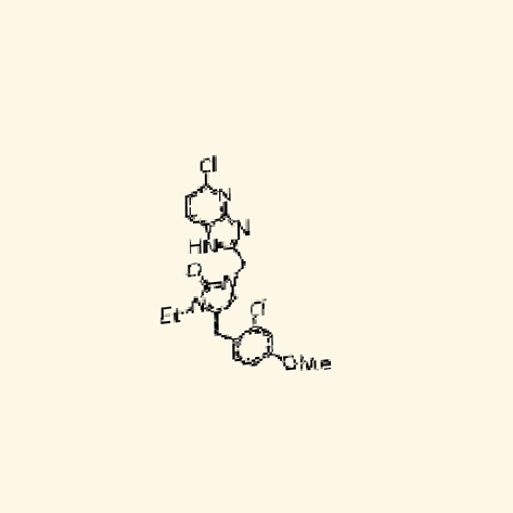 CCn1c(Cc2ccc(OC)cc2Cl)cn(Cc2nc3nc(Cl)ccc3[nH]2)c1=O